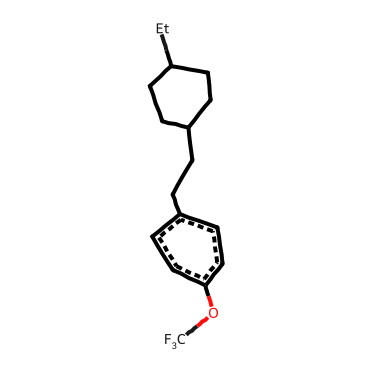 CCC1CCC(CCc2ccc(OC(F)(F)F)cc2)CC1